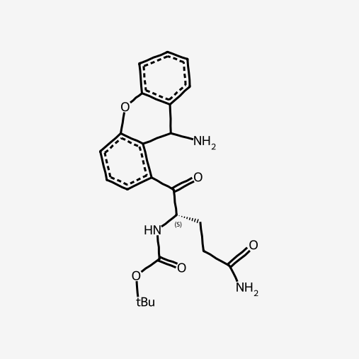 CC(C)(C)OC(=O)N[C@@H](CCC(N)=O)C(=O)c1cccc2c1C(N)c1ccccc1O2